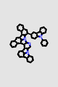 c1ccc(-n2c3ccccc3c3cc(-c4cc5ccccc5c5c6cc7ccccc7c7c8c9c%10cccc%11c%12ccccc%12n(c9cnc8n(c45)c67)c%11%10)ccc32)cc1